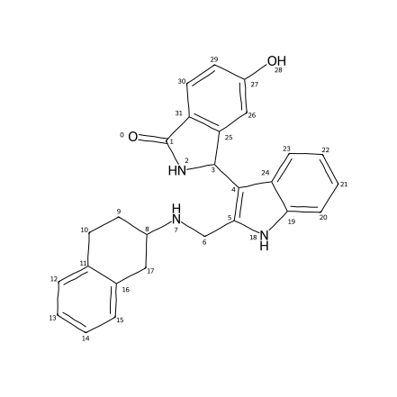 O=C1NC(c2c(CNC3CCc4ccccc4C3)[nH]c3ccccc23)c2cc(O)ccc21